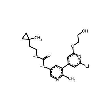 Cc1ncc(NC(=O)NCCC2(C)CC2)cc1-c1cc(Cl)nc(OCCO)c1